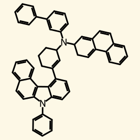 C1=C(c2cccc3c2c2c4ccccc4ccc2n3-c2ccccc2)CCCC1N(c1cccc(-c2ccccc2)c1)C1C=c2ccc3ccccc3c2=CC1